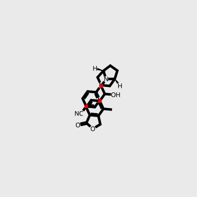 Cc1c(C(O)CN2[C@@H]3CC[C@H]2CN(c2ccc(C#N)cn2)C3)ccc2c1COC2=O